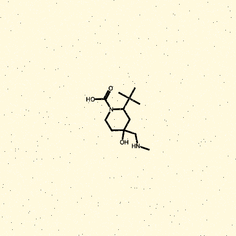 CNCC1(O)CCN(C(=O)O)C(C(C)(C)C)C1